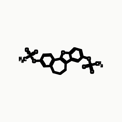 O=S(=O)(Oc1ccc2c(c1)CCCc1c-2oc2ccc(OS(=O)(=O)C(F)(F)F)cc12)C(F)(F)F